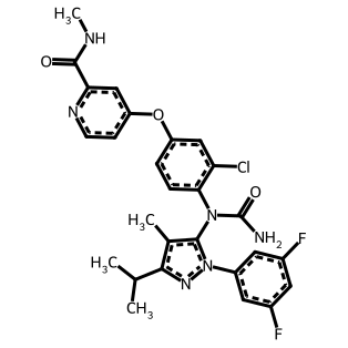 CNC(=O)c1cc(Oc2ccc(N(C(N)=O)c3c(C)c(C(C)C)nn3-c3cc(F)cc(F)c3)c(Cl)c2)ccn1